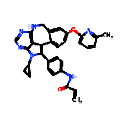 C=CC(=O)Nc1ccc(-c2c3c4c(ncnc4n2C2CC2)NCc2cc(Oc4cccc(C)n4)ccc2-3)cc1